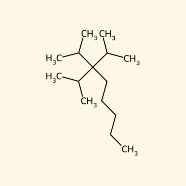 CCCCCC(C(C)C)(C(C)C)C(C)C